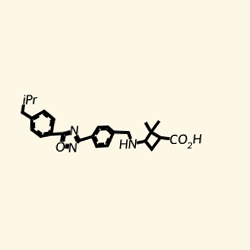 CC(C)Cc1ccc(-c2nc(-c3ccc(CNC4CC(C(=O)O)C4(C)C)cc3)no2)cc1